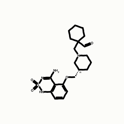 NC1=NS(=O)(=O)Nc2cccc(OC[C@H]3CCCN(CC4(C=O)CCCCC4)C3)c21